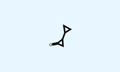 O=C1CC1C1CC1